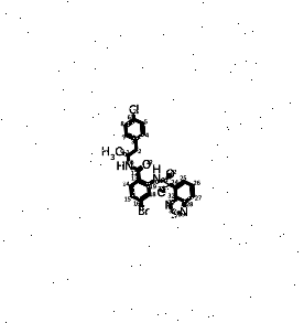 CC(Cc1ccc(Cl)cc1)NC(=O)c1ccc(Br)cc1NS(=O)(=O)c1cccc2nsnc12